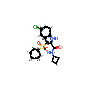 O=C(NC1CCC1)c1[nH]c2ccc(Cl)cc2c1S(=O)(=O)c1ccccc1